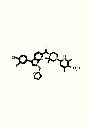 CC1=CC(N2CCN(C(=O)c3ccc4c(-c5ccc(Cl)c(F)c5)cn(C[C@H]5CCCO5)c4n3)C(C)(C)C2)NC(C)=C1C(=O)O